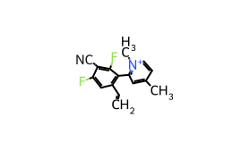 C=Cc1cc(F)c(C#N)c(F)c1-c1cc(C)cc[n+]1C